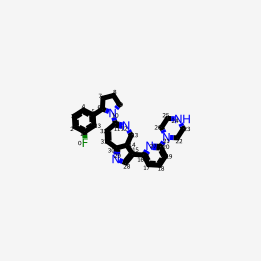 Fc1cccc(C2CCCN2C2=NCC3C(c4cccc(N5CCNCC5)n4)=CN=C3C=C2)c1